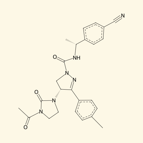 CC(=O)N1CCN([C@@H]2CN(C(=O)N[C@H](C)c3ccc(C#N)cc3)N=C2c2ccc(C)cc2)C1=O